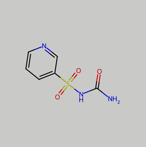 NC(=O)NS(=O)(=O)c1cccnc1